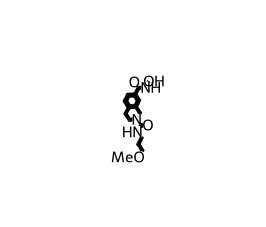 COCCCNC(=O)N1CCc2ccc(C(=O)NO)cc2C1